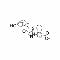 COC(=O)c1ccc(-n2ncc(C(=O)NC3C4CC5CC3CC(O)(C5)C4)c2SC2CCCCC2)cc1